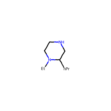 [CH2]CN1CCNCC1CCC